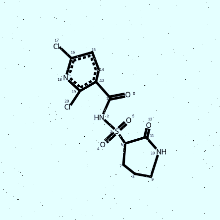 O=C(NS(=O)(=O)C1CCCNC1=O)c1ccc(Cl)nc1Cl